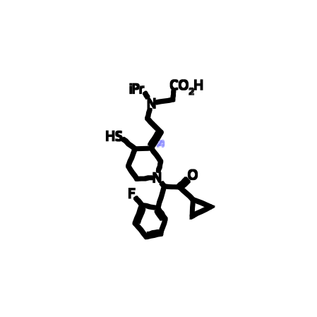 CC(C)N(C/C=C1/CN(C(C(=O)C2CC2)c2ccccc2F)CCC1S)CC(=O)O